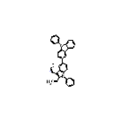 C=Cc1c(/C=C\C)c2cc(-c3ccc4c(c3)c3ccccc3n4-c3ccccc3)ccc2n1-c1ccccc1